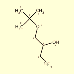 CC(C)(C)OCC(O)C[18F]